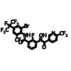 O=C(Nc1c(Br)cc(C(F)(C(F)(F)F)C(F)(F)F)cc1C(F)(F)F)c1cccc(N(O)C(=O)c2ccc(C(F)(F)F)nc2)c1F